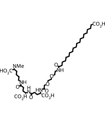 CN[C@@H](CCCCNC(=O)CC[C@H](NC(=O)CC[C@H](NC(=O)COCCOCCNC(=O)CCCCCCCCCCCCCCCCCCC(=O)O)C(=O)O)C(=O)O)C(=O)O